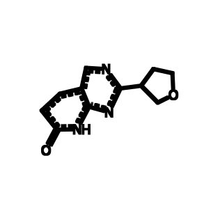 O=c1ccc2cnc(C3CCOC3)nc2[nH]1